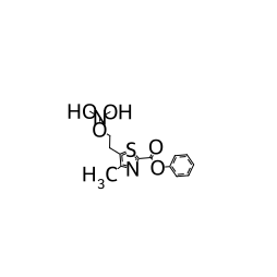 Cc1nc(C(=O)Oc2ccccc2)sc1CCON(O)O